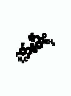 CCCCN(Cc1ccc(F)cc1F)S(=O)(=O)c1ccc2c(c1)/C(=C\c1nccs1)C(=O)N2C